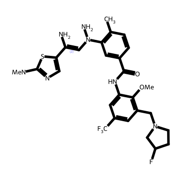 CNc1ncc(/C(N)=C/N(N)c2cc(C(=O)Nc3cc(C(F)(F)F)cc(CN4CCC(F)C4)c3OC)ccc2C)s1